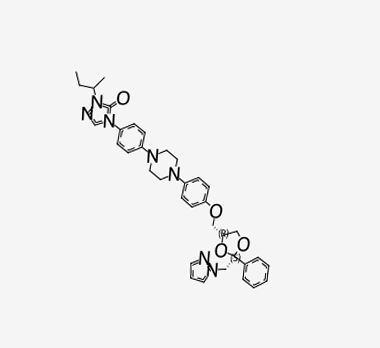 CCC(C)n1ncn(-c2ccc(N3CCN(c4ccc(OC[C@@H]5CO[C@@](Cn6cccn6)(c6ccccc6)O5)cc4)CC3)cc2)c1=O